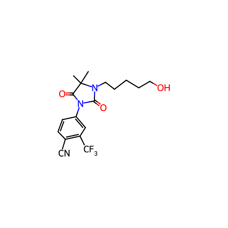 CC1(C)C(=O)N(c2ccc(C#N)c(C(F)(F)F)c2)C(=O)N1CCCCCO